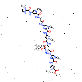 COC(=O)c1cc(NC(=O)c2nc(NC(=O)[C@@H](CCNC(=O)c3cc(NC(=O)c4nc(NC(=O)CCNC(=O)c5cc(NC(=O)c6nccn6C)cn5C)cn4C)cn3C)NC(=O)OC(C)(C)C)cn2C)cn1C